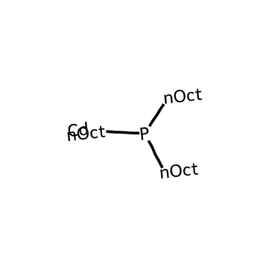 CCCCCCCCP(CCCCCCCC)CCCCCCCC.[Cd]